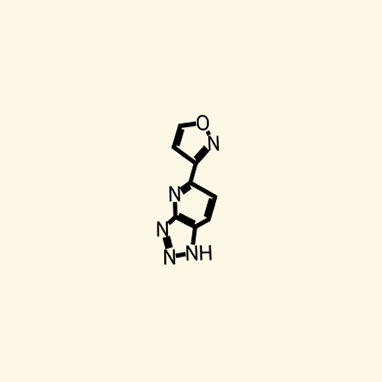 c1cc(-c2ccc3[nH]nnc3n2)no1